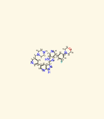 CN1CCN(Cc2cncc(-c3cnc4[nH]nc(-c5nc6c(-c7cc(F)cc(N8CCOCC8)c7)cncc6[nH]5)c4c3)c2)CC1